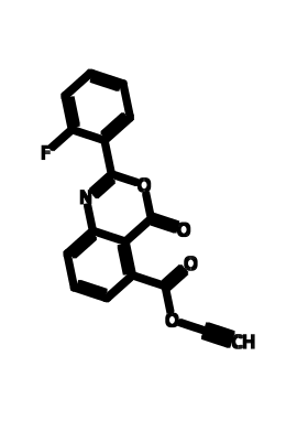 C#COC(=O)c1cccc2nc(-c3ccccc3F)oc(=O)c12